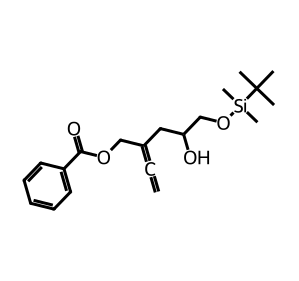 C=C=C(COC(=O)c1ccccc1)CC(O)CO[Si](C)(C)C(C)(C)C